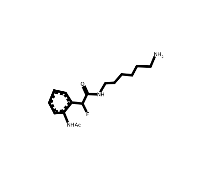 CC(=O)Nc1ccccc1C(F)C(=O)NCCCCCCN